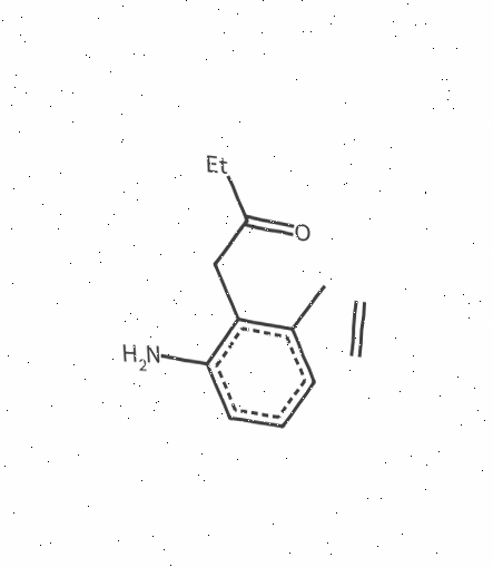 C=C.CCC(=O)Cc1c(C)cccc1N